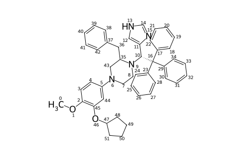 COc1ccc(N2CCN([C@H](c3c[nH]cn3)C(c3ccccc3)(c3ccccc3)c3ccccc3)C(Cc3ccccc3)C2)cc1OC1CCCC1